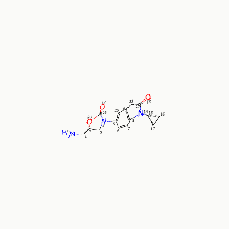 NCC1CN(c2ccc3c(c2)CC(=O)N3C2CC2)C(=O)O1